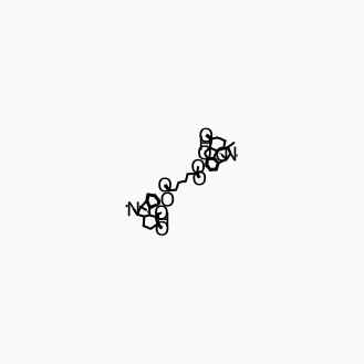 CC1C2CCC(=O)[C@@H]3Oc4c(OC(=O)CCCCC(=O)Oc5ccc6c7c5O[C@H]5C(=O)CCC8C9N(C)C69C[C@@]785)ccc5c4[C@]23CC5N1C